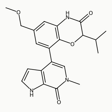 COCc1cc2c(c(-c3cn(C)c(=O)c4[nH]ccc34)c1)OC(C(C)C)C(=O)N2